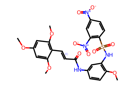 COc1cc(OC)c(/C=C/C(=O)Nc2ccc(OC)c(NS(=O)(=O)c3ccc([N+](=O)[O-])cc3[N+](=O)[O-])c2)c(OC)c1